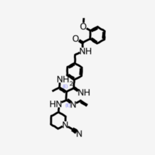 C=C/N=C(NC1CCCN(C#N)C1)\C(C(=N)c1ccc(CNC(=O)c2ccccc2OC)cc1)=C(/C)N